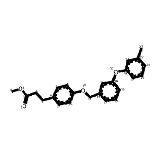 COC(=O)CCc1ccc(OCc2cccc(Oc3cccc(C)c3)c2)cc1